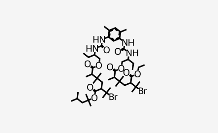 CCOC(=O)C(CC(C)(C)C(C)C(=O)OCC(CC)NC(=O)Nc1cc(NC(=O)NC(CC)COC(=O)C(C)C(C)(C)CC(C(=O)OC(C)(C)CC(C)C)C(C)(C)Br)c(C)cc1C)C(C)(C)Br